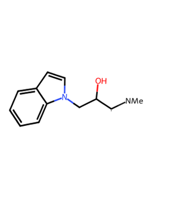 CN[CH]C(O)Cn1ccc2ccccc21